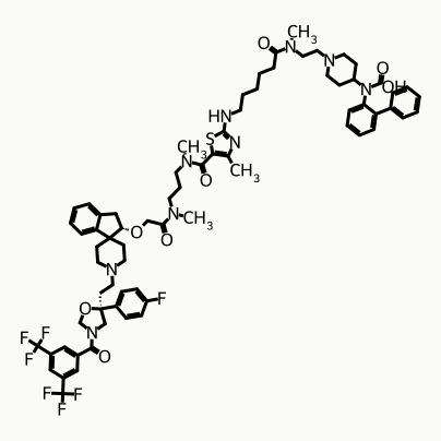 Cc1nc(NCCCCCC(=O)N(C)CCN2CCC(N(C(=O)O)c3ccccc3-c3ccccc3)CC2)sc1C(=O)N(C)CCCN(C)C(=O)CO[C@H]1Cc2ccccc2C12CCN(CC[C@]1(c3ccc(F)cc3)CN(C(=O)c3cc(C(F)(F)F)cc(C(F)(F)F)c3)CO1)CC2